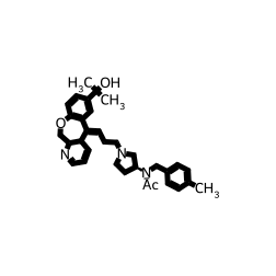 CC(=O)N(Cc1ccc(C)cc1)[C@H]1CCN(CC/C=C2/c3cc(C(C)(C)O)ccc3OCC3N=CC=CC23)C1